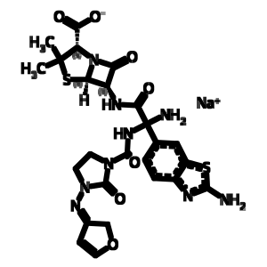 CC1(C)S[C@@H]2[C@H](NC(=O)C(N)(NC(=O)N3CCN(N=C4C=COC4)C3=O)c3ccc4nc(N)sc4c3)C(=O)N2[C@H]1C(=O)[O-].[Na+]